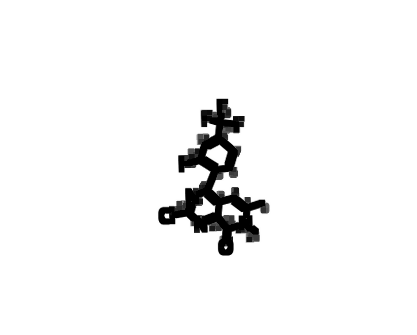 Cc1cc2c(-c3ccc(C(F)(F)F)cc3F)nc(Cl)nc2c(=O)n1C